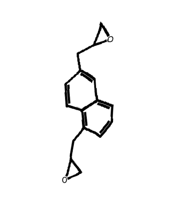 c1cc(CC2CO2)c2ccc(CC3CO3)cc2c1